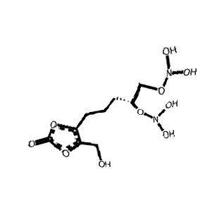 O=c1oc(CO)c(CCC[C@H](CON(O)O)ON(O)O)o1